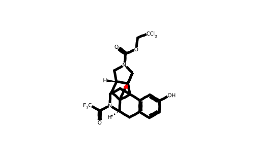 O=C(OCC(Cl)(Cl)Cl)N1C[C@H]2CC34CCC1C2C31CCN(C(=O)C(F)(F)F)[C@@H]4Cc2ccc(O)cc21